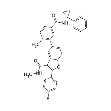 CNC(=O)C1=C(c2ccc(F)cc2)OC2CC=C(c3cc(C(=O)NC4(c5ncccn5)CC4)ccc3C)C=C12